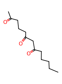 CCCCCC(=O)CC(=O)CCCC(C)=O